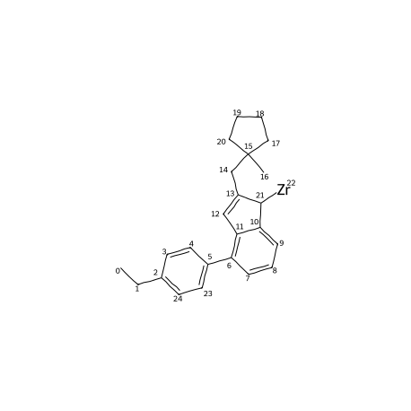 CCc1ccc(-c2cccc3c2C=C(CC2(C)CCCC2)[CH]3[Zr])cc1